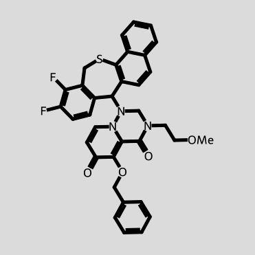 COCCN1CN(C2c3ccc(F)c(F)c3CSc3c2ccc2ccccc32)n2ccc(=O)c(OCc3ccccc3)c2C1=O